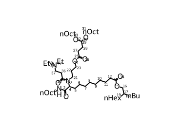 CCCCCCCCNC(=O)C(CCCCCCCCC(=O)OCC(CCCC)CCCCCC)N(CCCOC(=O)CCC(OCCCCCCCC)OCCCCCCCC)C(=O)CCN(CC)CC